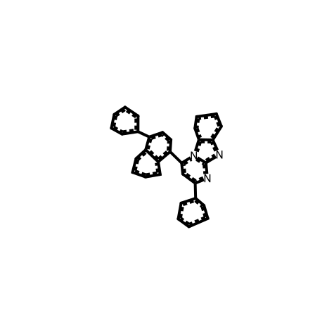 c1ccc(-c2cc(-c3ccc(-c4ccccc4)c4ccccc34)n3c(n2)nc2ccccc23)cc1